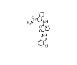 NC(=O)N1CC(NC(=O)N2CCC[C@H]2C(=O)NCc2cccc(Cl)c2F)c2ccccc21